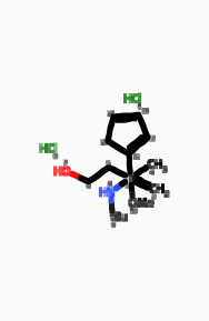 Cl.Cl.[CH2]=[Ti]([CH3])([CH2]CO)([NH]C(C)(C)C)([O]C)[C]1=CC=CC1